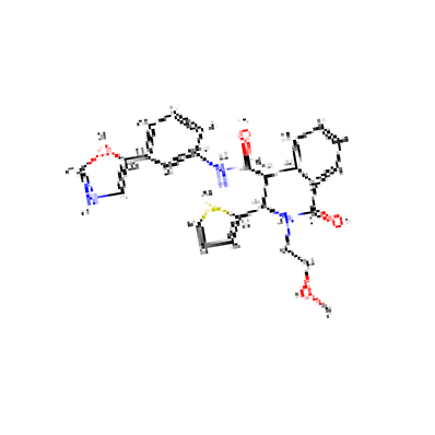 COCCN1C(=O)c2ccccc2C(C(=O)Nc2cccc(-c3cnco3)c2)C1c1cccs1